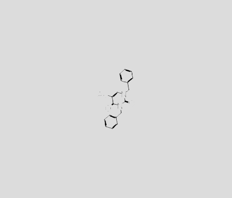 CC(=O)c1cn(Cc2ccccc2)c(=O)n(Cc2ccccc2)c1=O